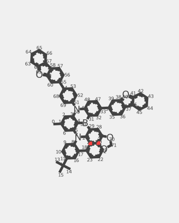 Cc1cc2c3c(c1)N(c1ccc(C(C)(C)C)cc1-c1ccccc1)c1cc4c(cc1B3c1cc(-c3ccc5c(c3)oc3ccccc35)ccc1N2c1ccc(-c2ccc3c(c2)oc2ccccc23)cc1)OCO4